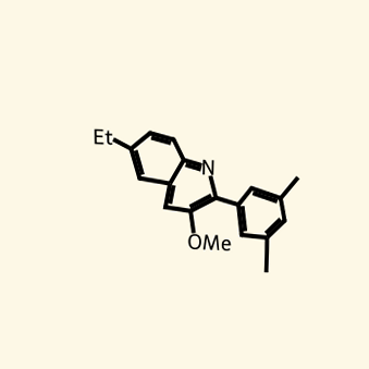 CCc1ccc2nc(-c3cc(C)cc(C)c3)c(OC)cc2c1